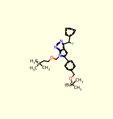 CC(C)(C)[Si](C)(C)OCc1ccc(-c2cc3c(C(F)c4ccccc4)ncnc3n2COCC[Si](C)(C)C)cc1